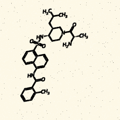 Cc1ccccc1C(=O)Nc1cccc2c(S(=O)(=O)N[C@H]3CCN(C(=O)[C@H](C)N)C[C@@H]3CC(C)C)cccc12